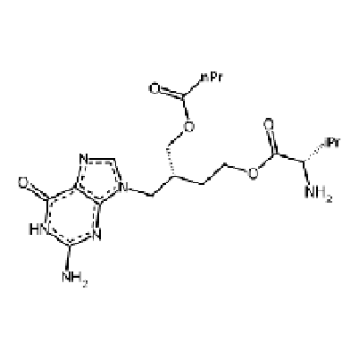 CCCC(=O)OC[C@H](CCOC(=O)[C@@H](N)C(C)C)Cn1cnc2c(=O)[nH]c(N)nc21